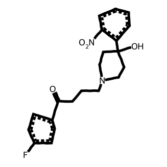 O=C(CCCN1CCC(O)(c2ccccc2[N+](=O)[O-])CC1)c1ccc(F)cc1